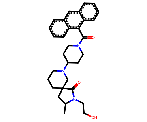 CC1CC2(CCCN(C3CCN(C(=O)c4c5ccccc5cc5ccccc45)CC3)C2)C(=O)N1CCO